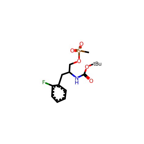 CC(C)(C)OC(=O)NC(COS(C)(=O)=O)Cc1ccccc1F